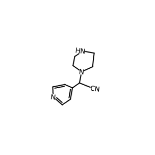 N#CC(c1ccncc1)N1CCNCC1